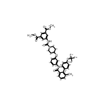 COC(=O)c1cc(NC(=O)N2CCC(Oc3cccc(NC(=O)c4cccc(C)c4-c4ccc(OC(F)(F)F)cc4)c3)CC2)cc(C(=O)OC)c1